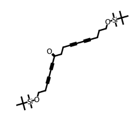 CC(C)(C)[Si](C)(C)OCCC#CC#CC(=O)CCC#CC#CCCCO[Si](C)(C)C(C)(C)C